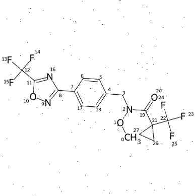 CON(Cc1ccc(-c2noc(C(F)(F)F)n2)cc1)C(=O)C1(C(F)(F)F)CC1